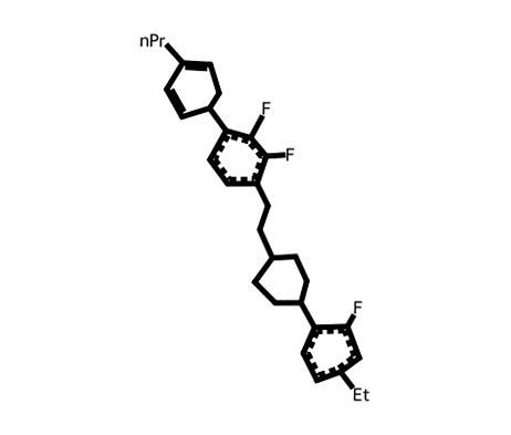 CCCC1=CCC(c2ccc(CCC3CCC(c4ccc(CC)cc4F)CC3)c(F)c2F)C=C1